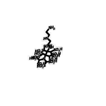 NCCNCCNC(C(S(=O)(=O)O)S(=O)(=O)O)(C(S(=O)(=O)O)S(=O)(=O)O)C(C(S(=O)(=O)O)S(=O)(=O)O)(C(S(=O)(=O)O)S(=O)(=O)O)N(C(S(=O)(=O)O)S(=O)(=O)O)C(S(=O)(=O)O)S(=O)(=O)O